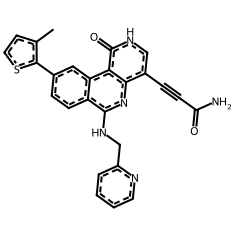 Cc1ccsc1-c1ccc2c(NCc3ccccn3)nc3c(C#CC(N)=O)c[nH]c(=O)c3c2c1